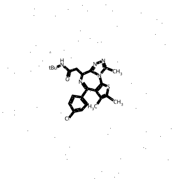 Cc1sc2c(c1C)C(c1ccc(Cl)cc1)=NC(CC(=O)NC(C)(C)C)c1nnc(C)n1-2